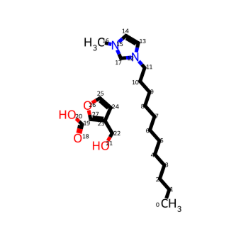 CCCCCCCCCCCCN1C=CN(C)C1.O=CO.OCc1ccoc1